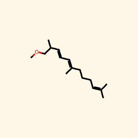 COCC(C)/C=C/C=C(\C)CCCC=C(C)C